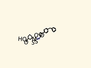 O=C(O)C1CCCC(N2C(=O)/C(=C\c3ccc(-c4ccc(Cc5ccccc5)cc4)o3)SC2=S)C1